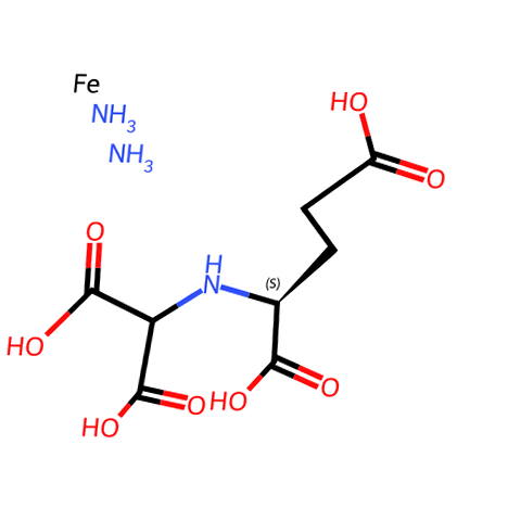 N.N.O=C(O)CC[C@H](NC(C(=O)O)C(=O)O)C(=O)O.[Fe]